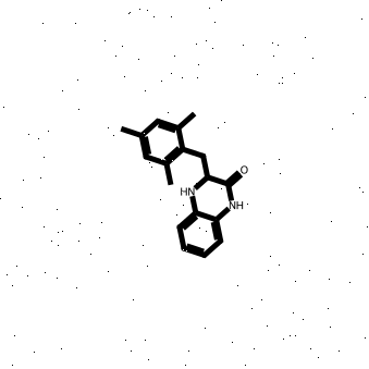 Cc1cc(C)c(CC2Nc3ccccc3NC2=O)c(C)c1